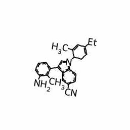 CCC1=CCC(n2cc(-c3cccc(N)c3C)c3cc(C#N)ccc32)C(C)=C1